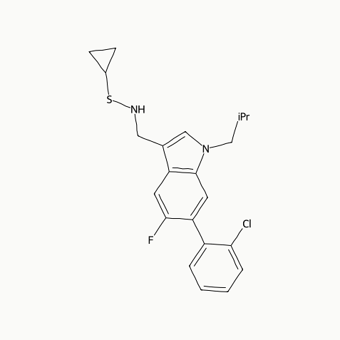 CC(C)Cn1cc(CNSC2CC2)c2cc(F)c(-c3ccccc3Cl)cc21